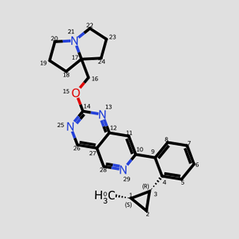 C[C@H]1C[C@H]1c1ccccc1-c1cc2nc(OCC34CCCN3CCC4)ncc2cn1